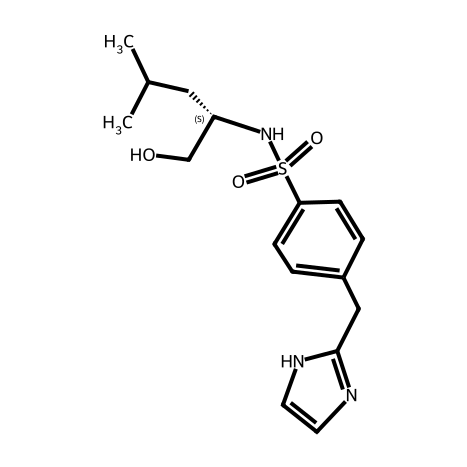 CC(C)C[C@@H](CO)NS(=O)(=O)c1ccc(Cc2ncc[nH]2)cc1